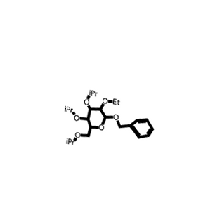 CCOC1C(OCc2ccccc2)OC(COC(C)C)C(OC(C)C)C1OC(C)C